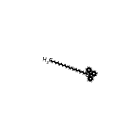 CCCCCCCCCCCCCCCCCCCCCOC(c1ccccc1)(c1ccccc1)c1ccccc1